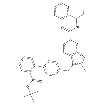 CCC(NC(=O)c1ccc2c(c1)cc(C)n2Cc1ccc(-c2ccccc2C(=O)OC(C)(C)C)cc1)c1ccccc1